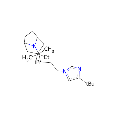 CCC1(C(C)C)CC2CCC(C1)N2C(C)(C)CCCn1cnc(C(C)(C)C)c1